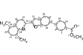 COC(=O)c1ccc(-c2ccc3cc(-c4ccc5c(C)ccc(C)c5n4)oc3c2)cc1